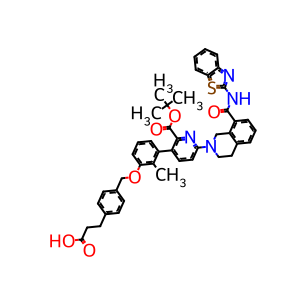 Cc1c(OCc2ccc(CCC(=O)O)cc2)cccc1-c1ccc(N2CCc3cccc(C(=O)Nc4nc5ccccc5s4)c3C2)nc1C(=O)OC(C)(C)C